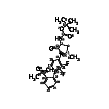 C[C@H]1CC(NC(=O)OC(C)(C)C)C(=O)N1c1ccc(-c2ccccc2P(C)(C)=O)c(F)c1F